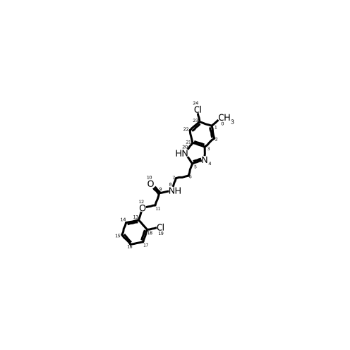 Cc1cc2nc(CCNC(=O)COc3ccccc3Cl)[nH]c2cc1Cl